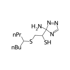 CCCCC(CCC)SCC(S)C1(N)N=CN=N1